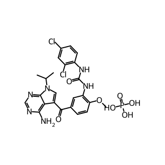 COc1ccc(C(=O)c2cn(C(C)C)c3ncnc(N)c23)cc1NC(=O)Nc1ccc(Cl)cc1Cl.O=P(O)(O)O